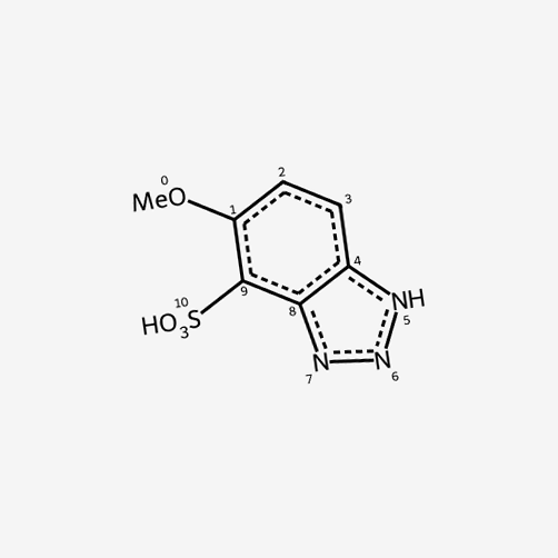 COc1ccc2[nH]nnc2c1S(=O)(=O)O